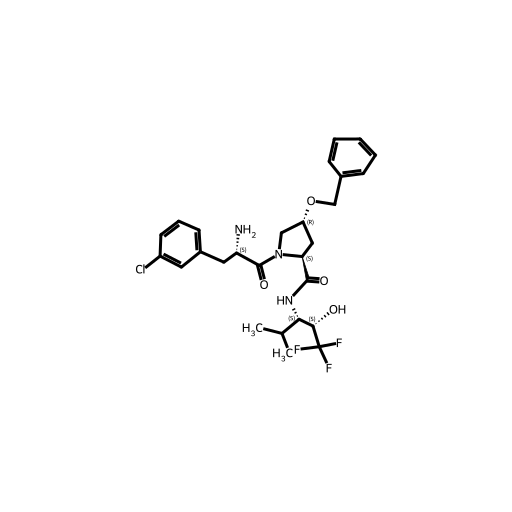 CC(C)[C@H](NC(=O)[C@@H]1C[C@@H](OCc2ccccc2)CN1C(=O)[C@@H](N)Cc1cccc(Cl)c1)[C@H](O)C(F)(F)F